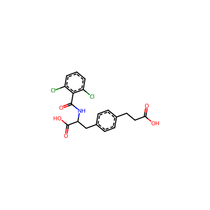 O=C(O)CCc1ccc(CC(NC(=O)c2c(Cl)cccc2Cl)C(=O)O)cc1